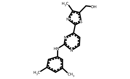 Cc1cc(C)cc(Nc2nccc(-c3nc(C)c(CO)s3)n2)c1